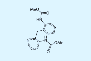 COC(=O)Nc1ccccc1Cc1ccccc1NC(=O)OC